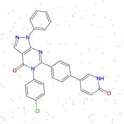 O=c1ccc(-c2ccc(-c3nc4c(cnn4-c4ccccc4)c(=O)n3-c3ccc(Cl)cc3)cc2)c[nH]1